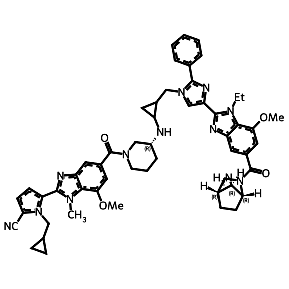 CCn1c(-c2cn(CC3CC3N[C@@H]3CCCN(C(=O)c4cc(OC)c5c(c4)nc(-c4ccc(C#N)n4CC4CC4)n5C)C3)c(-c3ccccc3)n2)nc2cc(C(=O)N3C[C@H]4CC[C@@H]3[C@@H]4N)cc(OC)c21